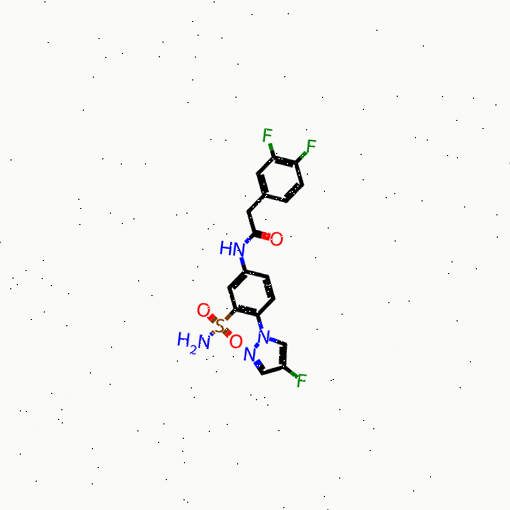 NS(=O)(=O)c1cc(NC(=O)Cc2ccc(F)c(F)c2)ccc1-n1cc(F)cn1